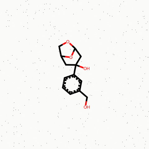 OCc1cccc(C2(O)CC3COC(C2)O3)c1